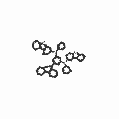 c1ccc(N(c2cc(-c3cc4ccccc4c4ccccc34)cc(N(c3ccccc3)c3ccc4oc5ccccc5c4c3)c2)c2ccc3c(c2)sc2ccccc23)cc1